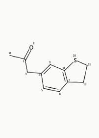 CC(=O)Cc1ccc2c(c1)SCC2